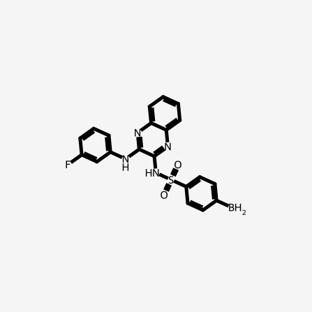 Bc1ccc(S(=O)(=O)Nc2nc3ccccc3nc2Nc2cccc(F)c2)cc1